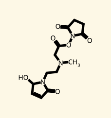 CN(CCN1C(=O)C=CC1O)CC(=O)ON1C(=O)CCC1=O